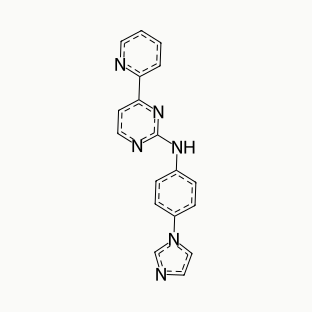 c1ccc(-c2ccnc(Nc3ccc(-n4ccnc4)cc3)n2)nc1